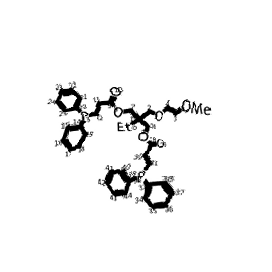 CCC(COCCOC)(COC(=O)CCP(c1ccccc1)c1ccccc1)COC(=O)CCP(c1ccccc1)c1ccccc1